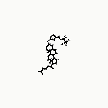 CC(C)CCCC(C)C1CCC2C3CC=C4CC(OC5OCC(CNC(=O)C(F)(F)F)O5)CCC4(C)C3CCC12C